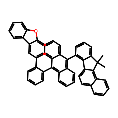 CC1(C)c2cccc(-c3c4ccccc4c(-c4ccccc4-c4ccc5oc6ccccc6c5c4)c4ccccc34)c2-c2ccc3ccccc3c21